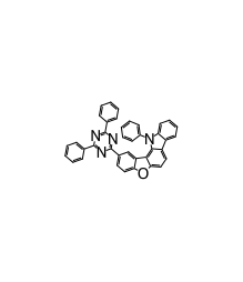 c1ccc(-c2nc(-c3ccccc3)nc(-c3ccc4oc5ccc6c7ccccc7n(-c7ccccc7)c6c5c4c3)n2)cc1